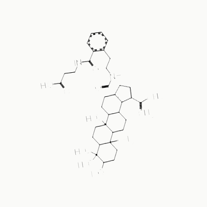 C=C(C)C1CC[C@]2(C(=O)NCCc3ccccc3C(=O)NCCC(=O)O)CCC3C(CCC4C3(C)CCC3C(C)(C)C(O)CCC34C)C12